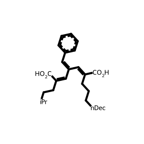 CCCCCCCCCCCCCC(=CC(=Cc1ccccc1)C=C(CCC(C)C)C(=O)O)C(=O)O